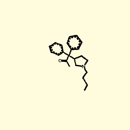 CCCCN1CCC(C(C(C)=O)(c2ccccc2)c2ccccc2)C1